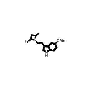 CCC1CC(C)N1CCc1c[nH]c2ccc(OC)cc12